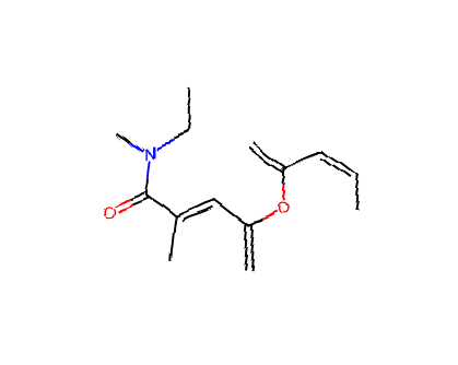 C=C(/C=C\C)OC(=C)/C=C(\C)C(=O)N(C)CC